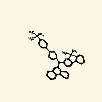 CC(C)(C)c1ccc(-c2ccc(N(c3ccc4c(c3)C(C)(C)c3ccccc3-4)c3cc4ccccc4c4ccccc34)cc2)cc1